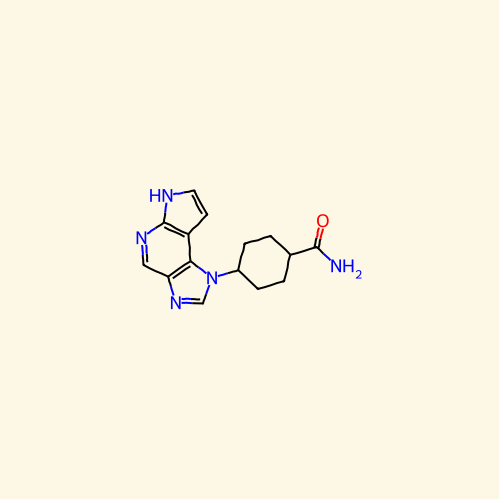 NC(=O)C1CCC(n2cnc3cnc4[nH]ccc4c32)CC1